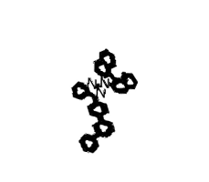 c1ccc(-c2cccc(-c3ccc(-c4nc(-n5c6ccc7ccccc7c6c6c7ccccc7ccc65)nc5ccccc45)cc3)c2)cc1